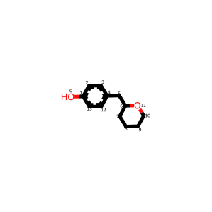 Oc1ccc(CC2CCCCO2)cc1